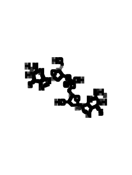 NC1=NC2C(N=CN2[C@H]2CC(O)[C@@H](COP(=O)(O)OC3C[C@H](n4cnc5c(=S)[nH]c(N)nc54)O[C@@H]3CO)O2)C(=S)N1